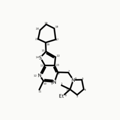 CCC1(C)CCCN1Cc1nc(C)nc2sc(C3CCCCC3)cc12